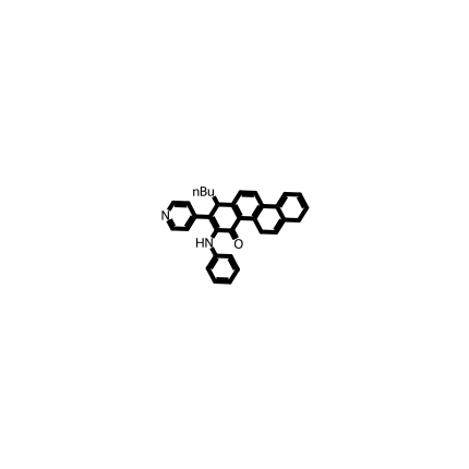 CCCCC1C(c2ccncc2)=C(Nc2ccccc2)C(=O)c2c1ccc1c2CC=C2CC=CC=C21